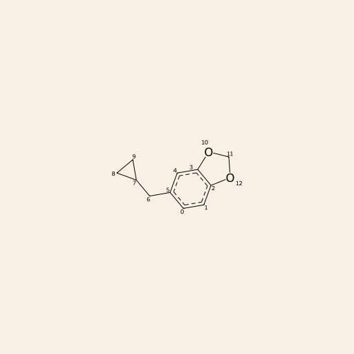 c1cc2c(cc1CC1CC1)OCO2